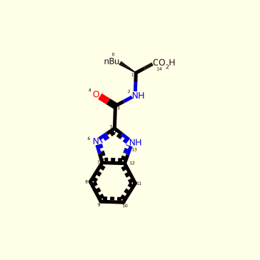 CCCC[C@H](NC(=O)c1nc2ccccc2[nH]1)C(=O)O